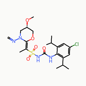 C=NN1C[C@@H](OC)CO/C1=C(/C)S(=O)(=O)NC(=O)Nc1c(C(C)C)cc(Cl)cc1C(C)C